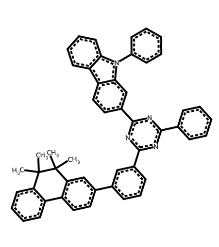 CC1(C)c2ccccc2-c2ccc(-c3cccc(-c4nc(-c5ccccc5)nc(-c5ccc6c7ccccc7n(-c7ccccc7)c6c5)n4)c3)cc2C1(C)C